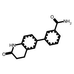 NC(=O)c1cccc(-c2ccc3c(c2)CCC(=O)N3)c1